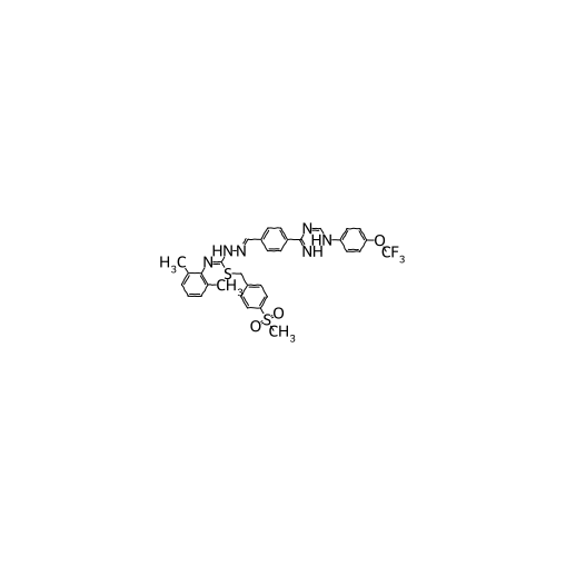 Cc1cccc(C)c1/N=C(/N/N=C/c1ccc(C(=N)/N=C\Nc2ccc(OC(F)(F)F)cc2)cc1)SCc1ccc(S(C)(=O)=O)cc1